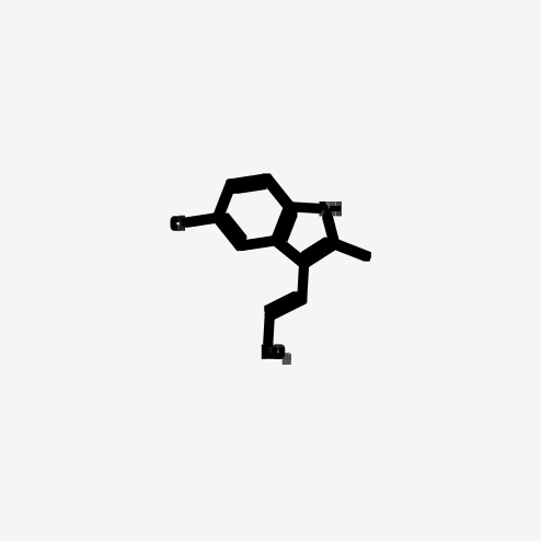 Cc1[nH]c2ccc(Cl)cc2c1C=C[N+](=O)[O-]